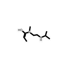 C/C=C(/O)N(C)CCNC(C)C